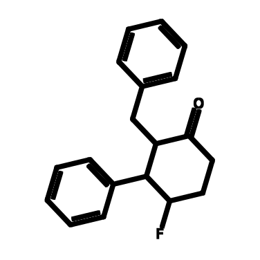 O=C1CCC(F)C(c2ccccc2)C1Cc1ccccc1